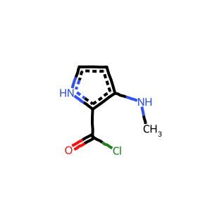 CNc1cc[nH]c1C(=O)Cl